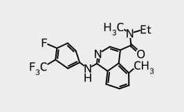 CCN(C)C(=O)c1cnc(Nc2ccc(F)c(C(F)(F)F)c2)c2cccc(C)c12